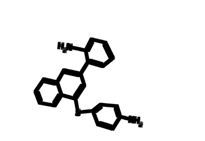 Nc1ccc(Sc2cc(-c3ccccc3N)cc3ccccc23)cc1